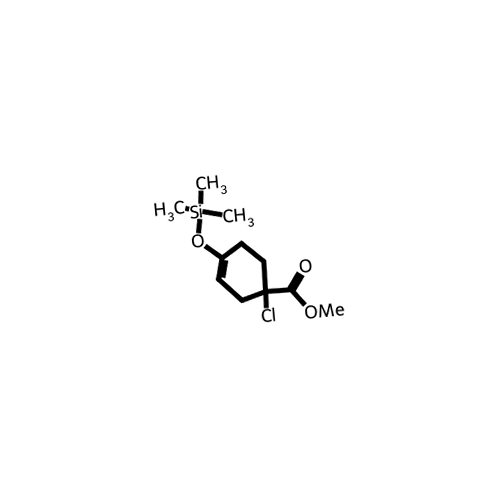 COC(=O)C1(Cl)CC=C(O[Si](C)(C)C)CC1